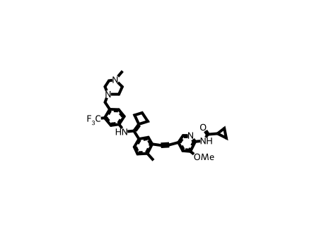 COc1cc(C#Cc2cc(C(Nc3ccc(CN4CCN(C)CC4)c(C(F)(F)F)c3)=C3CCC3)ccc2C)cnc1NC(=O)C1CC1